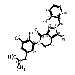 CN(C)Cc1cc(Cl)c(F)c(N2CCc3c(nn(Cc4ncccc4F)c3Cl)C2=O)c1